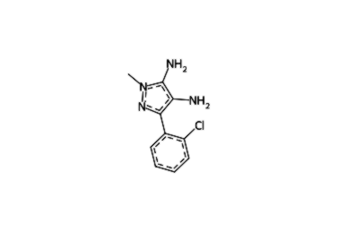 Cn1nc(-c2ccccc2Cl)c(N)c1N